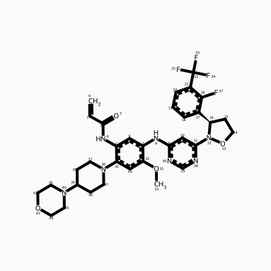 C=CC(=O)Nc1cc(Nc2cc(N3OCC[C@@H]3c3cccc(C(F)(F)F)c3F)ncn2)c(OC)cc1N1CCC(N2CCOCC2)CC1